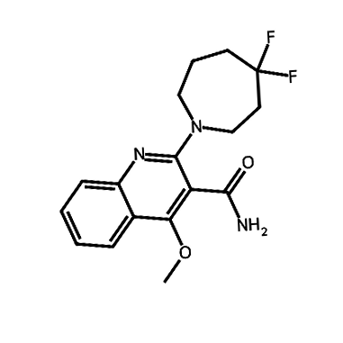 COc1c(C(N)=O)c(N2CCCC(F)(F)CC2)nc2ccccc12